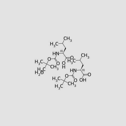 CC(C)C[C@H](NC(=O)OC(C)(C)C)C(=O)O.CC(C)C[C@H](NC(=O)OC(C)(C)C)C(=O)O.O